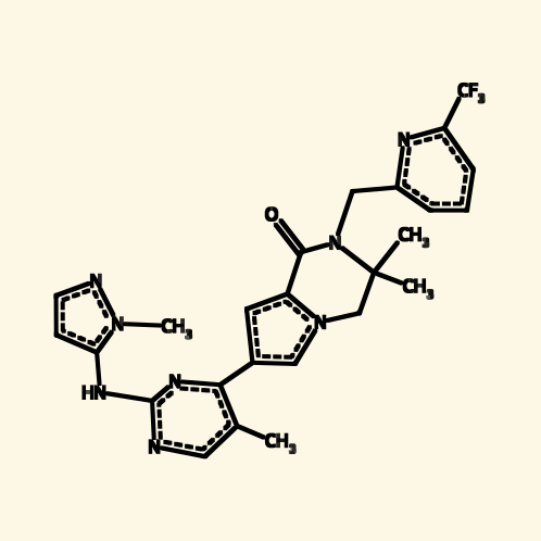 Cc1cnc(Nc2ccnn2C)nc1-c1cc2n(c1)CC(C)(C)N(Cc1cccc(C(F)(F)F)n1)C2=O